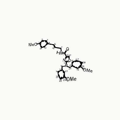 COc1ccc(CCCNC(=O)c2coc(N(Cc3cccc(OC)c3)Cc3cccc(OC)c3)n2)cc1